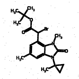 Cc1cc(C(Br)C(=O)OC(C)(C)C)c2c(c1)n(C1(C)CC1)c(=O)n2C